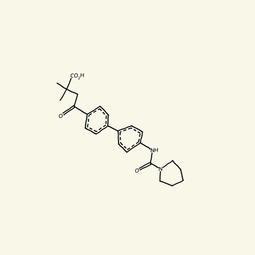 CC(C)(CC(=O)c1ccc(-c2ccc(NC(=O)N3CCCCC3)cc2)cc1)C(=O)O